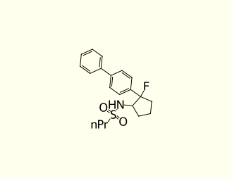 CCCS(=O)(=O)NC1CCCC1(F)c1ccc(-c2ccccc2)cc1